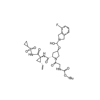 C=C[C@@H]1C[C@]1(NC(=O)[C@@H]1C[C@@H](OC(O)N2Cc3cccc(F)c3C2)CN1C(=O)CNC(=O)OC(C)(C)C)C(=O)NS(=O)(=O)C1CC1